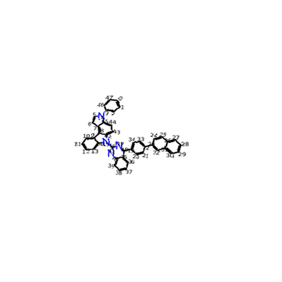 c1ccc(-n2ccc3c4c5ccccc5n(-c5nc(-c6ccc(-c7ccc8ccccc8c7)cc6)c6ccccc6n5)c4ccc32)cc1